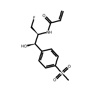 C=CC(=O)N[C@H](CF)[C@H](O)c1ccc(S(C)(=O)=O)cc1